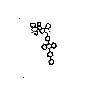 c1ccc(-c2ccc(-c3c4ccccc4c(-c4ccc(-c5nc6ccccc6c6c7c(ccc56)C5(c6ccccc6Sc6ccccc65)c5ccccc5-7)cc4)c4ccccc34)cc2)cc1